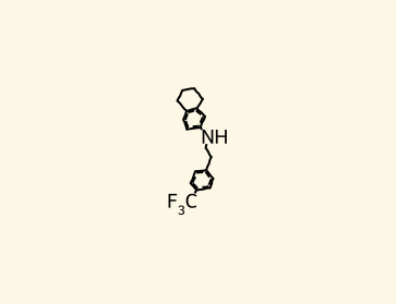 FC(F)(F)c1ccc(CCNc2ccc3c(c2)CCCC3)cc1